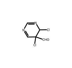 O=CC1(Cl)C=NC=NC1Cl